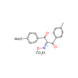 CCOC(=O)O/N=C(/C(=O)c1ccc(C)cc1)C(=O)c1ccc(OC)cc1